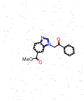 COC(=O)c1ccc2ncn(CC(=O)c3ccccc3)c2c1